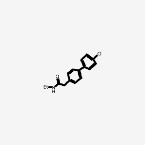 CCNC(=O)Cc1ccc(-c2ccc(Cl)cc2)cc1